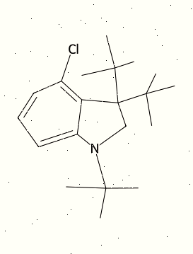 CC(C)(C)N1CC(C(C)(C)C)(C(C)(C)C)c2c(Cl)cccc21